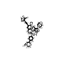 Cc1scnc1C#Cc1cc2cnc(Nc3ccc(C4CN(C)CCS4)cc3)nc2n(Cc2cnoc2N2CCOCC2)c1=O